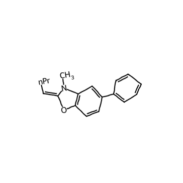 CCCC=C1Oc2ccc(-c3ccccc3)cc2N1C